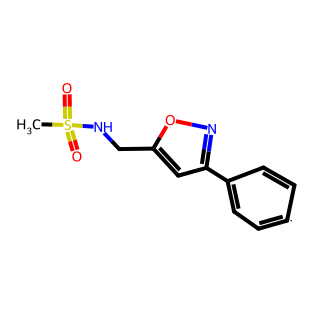 CS(=O)(=O)NCc1cc(-c2cc[c]cc2)no1